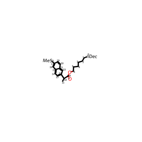 CCCCCCCCCCCCCCCCOC(=O)C(C)c1ccc2cc(SC)ccc2c1